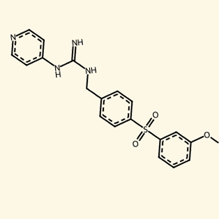 N=C(NCc1ccc(S(=O)(=O)c2cccc(OC(F)(F)F)c2)cc1)Nc1ccncc1